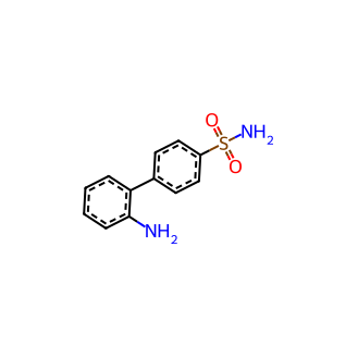 Nc1ccccc1-c1ccc(S(N)(=O)=O)cc1